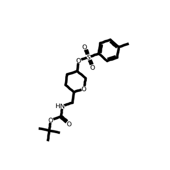 Cc1ccc(S(=O)(=O)OC2CCC(CNC(=O)OC(C)(C)C)OC2)cc1